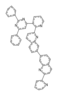 c1ccc(-c2cc(-c3cccnc3-c3ccc4ccc(-c5ccc6ccc(-c7ccccn7)nc6c5)cc4n3)nc(-c3ccccc3)n2)cc1